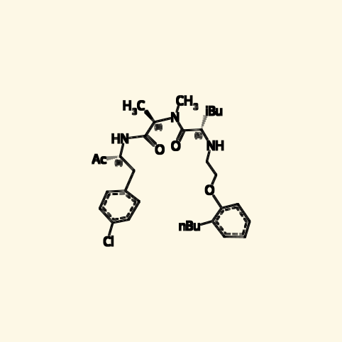 CCCCc1ccccc1OCCN[C@H](C(=O)N(C)[C@H](C)C(=O)N[C@H](Cc1ccc(Cl)cc1)C(C)=O)C(C)CC